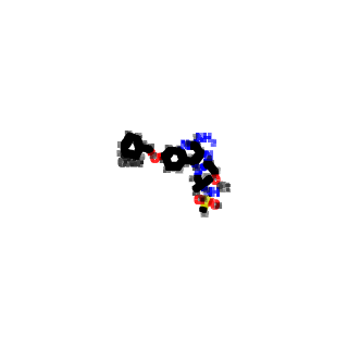 CCOCc1nc2c(N)nc3cc(OCc4cccc(OC)c4)ccc3c2n1CC(C)(C)NS(C)(=O)=O